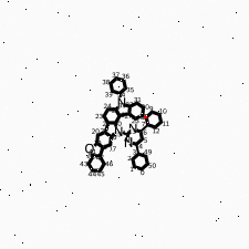 c1ccc(-c2cc(-c3ccccc3)nc(-n3c4cc5c(cc4c4ccc6c(c7ccccc7n6-c6ccccc6)c43)oc3ccccc35)n2)cc1